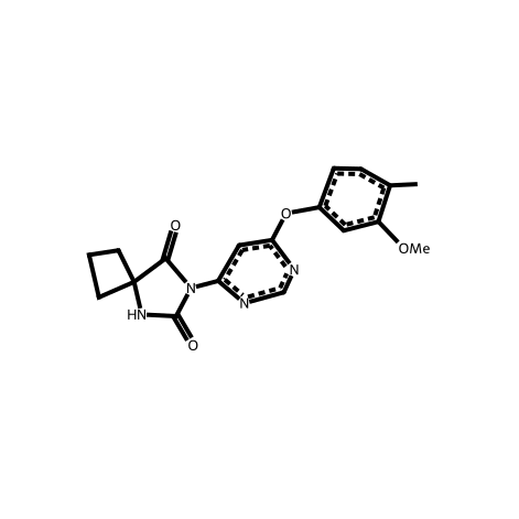 COc1cc(Oc2cc(N3C(=O)NC4(CCC4)C3=O)ncn2)ccc1C